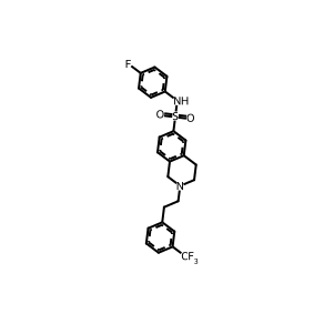 O=S(=O)(Nc1ccc(F)cc1)c1ccc2c(c1)CCN(CCc1cccc(C(F)(F)F)c1)C2